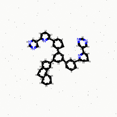 c1cc(-c2cc(-c3cccc(-c4cccc(-c5cncnc5)n4)c3)cc(-c3ccc4ccc5ccccc5c4c3)c2)cc(-c2cccc(-c3cncnc3)n2)c1